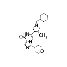 CC1CN(CC2CCCCC2)CC1c1cn2c(C3CCOCC3)ncc2c(=O)[nH]1